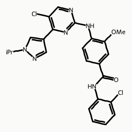 COc1cc(C(=O)Nc2ccccc2Cl)ccc1Nc1ncc(Cl)c(-c2cnn(C(C)C)c2)n1